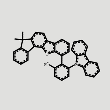 CC1(C)c2ccccc2-c2c1ccc1c2oc2c(-c3c(C#N)cccc3-n3c4ccccc4c4ccccc43)cccc21